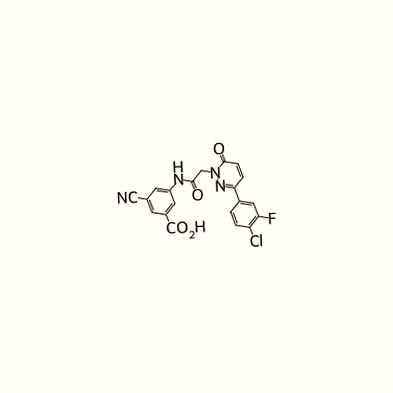 N#Cc1cc(NC(=O)Cn2nc(-c3ccc(Cl)c(F)c3)ccc2=O)cc(C(=O)O)c1